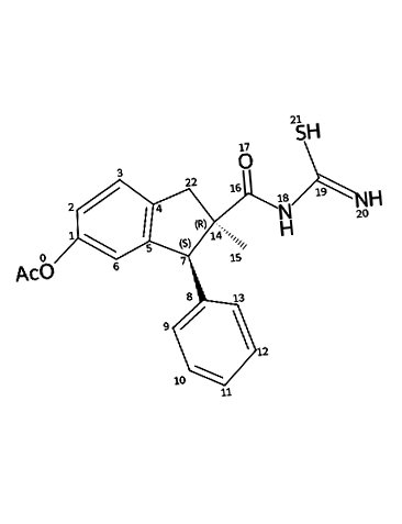 CC(=O)Oc1ccc2c(c1)[C@H](c1ccccc1)[C@](C)(C(=O)NC(=N)S)C2